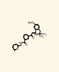 COc1ccc2c(c1)/C(=C/C(=O)c1cccc(C(=O)NCc3ccccn3)c1)NC(C)(C)C2